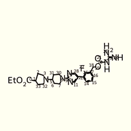 CCOC(=O)C1CCN(C2CCN(c3ncc(-c4cccc(COC(=O)NC(=N)N)c4F)cn3)CC2)CC1